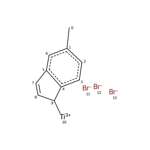 Cc1ccc2c(c1)C=C[CH]2[Ti+3].[Br-].[Br-].[Br-]